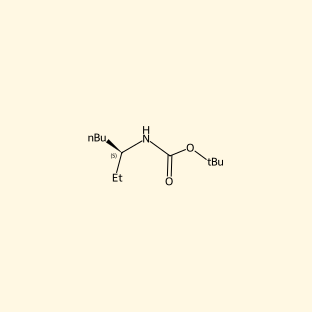 CCCC[C@H](CC)NC(=O)OC(C)(C)C